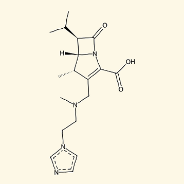 CC(C)[C@H]1C(=O)N2C(C(=O)O)=C(CN(C)CCn3ccnc3)[C@H](C)[C@H]12